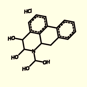 Cl.OC1c2cccc3c2C(Cc2ccccc2-3)N(C(O)O)C1O